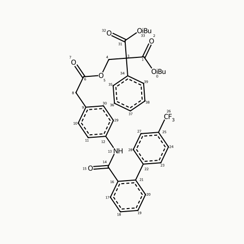 CC(C)COC(=O)C(COC(=O)Cc1ccc(NC(=O)c2ccccc2-c2ccc(C(F)(F)F)cc2)cc1)(C(=O)OCC(C)C)c1ccccc1